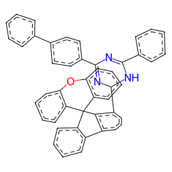 c1ccc(C2=NC(c3ccc(-c4ccccc4)cc3)=NC(c3cccc4c3C3(c5ccccc5Oc5ccccc53)c3ccccc3-4)N2)cc1